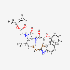 CC(=CSSc1nc2ccccc2s1)C1C(NC(=O)COc2ccccc2)C(=O)N1CC(=O)OC(C)C1CC1